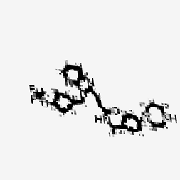 CC(NC(=O)CCc1nc2cccnc2n1Cc1ccc(OC(F)(F)F)cc1)c1ccc(N2CCCNCC2)cc1